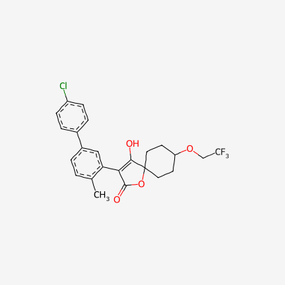 Cc1ccc(-c2ccc(Cl)cc2)cc1C1=C(O)C2(CCC(OCC(F)(F)F)CC2)OC1=O